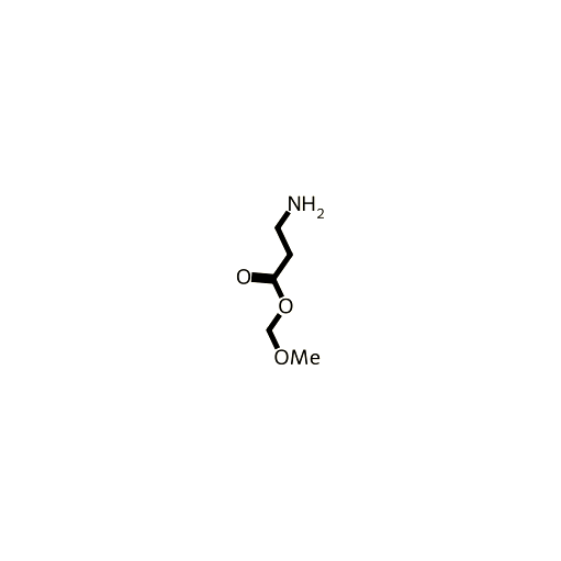 COCOC(=O)CCN